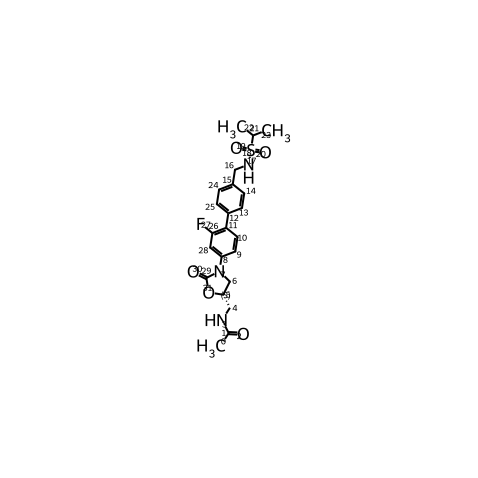 CC(=O)NC[C@H]1CN(c2ccc(-c3ccc(CNS(=O)(=O)C(C)C)cc3)c(F)c2)C(=O)O1